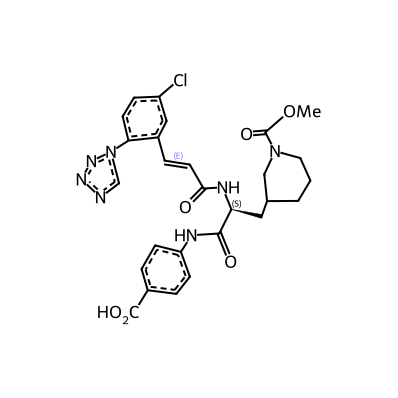 COC(=O)N1CCCC(C[C@H](NC(=O)/C=C/c2cc(Cl)ccc2-n2cnnn2)C(=O)Nc2ccc(C(=O)O)cc2)C1